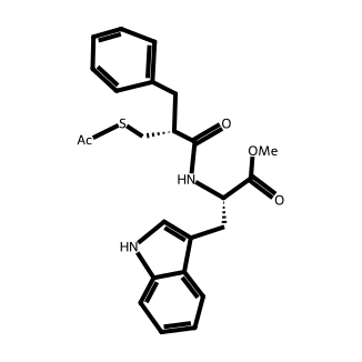 COC(=O)[C@H](Cc1c[nH]c2ccccc12)NC(=O)[C@H](CSC(C)=O)Cc1ccccc1